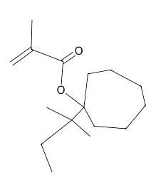 C=C(C)C(=O)OC1(C(C)(C)CC)CCCCCC1